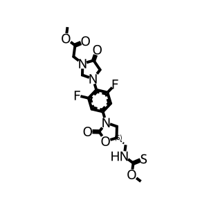 COC(=O)CN1CN(c2c(F)cc(N3C[C@H](CNC(=S)OC)OC3=O)cc2F)CC1=O